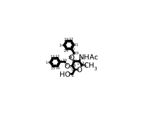 CC(=O)NC1[C@@H](C)OC(CO)[C@H](OCc2ccccc2)[C@H]1OCc1ccccc1